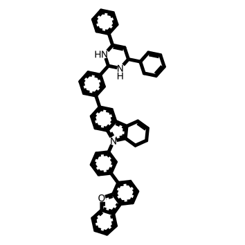 C1=CCC(C2C=C(c3ccccc3)NC(c3cccc(-c4ccc5c(c4)c4c(n5-c5cccc(-c6cccc7c6oc6ccccc67)c5)CCC=C4)c3)N2)C=C1